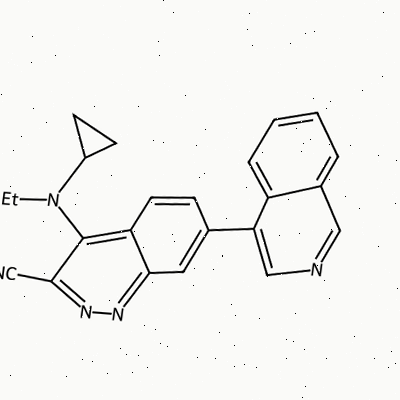 CCN(c1c(C#N)nnc2cc(-c3cncc4ccccc34)ccc12)C1CC1